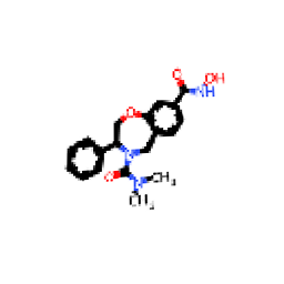 CN(C)C(=O)N1Cc2ccc(C(=O)NO)cc2OCC1c1ccccc1